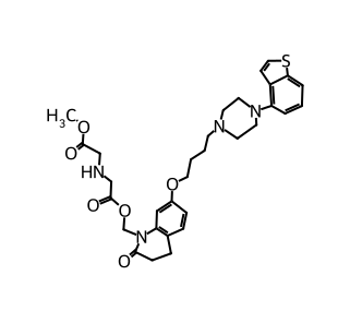 COC(=O)CNCC(=O)OCN1C(=O)CCc2ccc(OCCCCN3CCN(c4cccc5sccc45)CC3)cc21